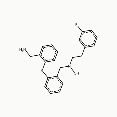 NCc1ccccc1Sc1ccccc1CN(O)CCc1cccc(F)c1